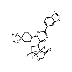 CC1(C)CCC([C@H](NC(=O)c2ccc3ncsc3c2)C(=O)N2C[C@H](Cl)[C@H]3OCC(=O)[C@H]32)CC1